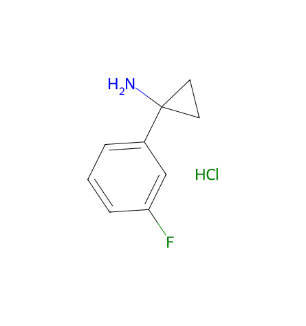 Cl.NC1(c2cccc(F)c2)CC1